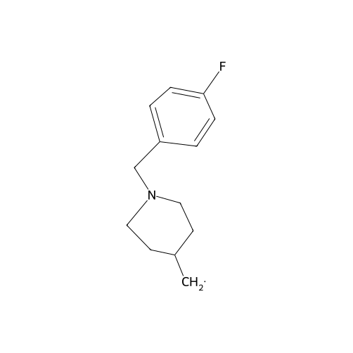 [CH2]C1CCN(Cc2ccc(F)cc2)CC1